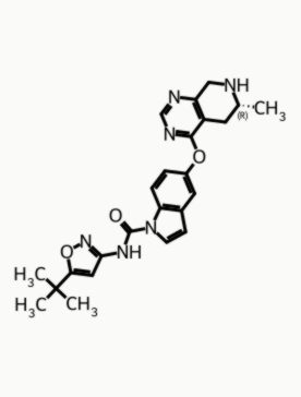 C[C@@H]1Cc2c(ncnc2Oc2ccc3c(ccn3C(=O)Nc3cc(C(C)(C)C)on3)c2)CN1